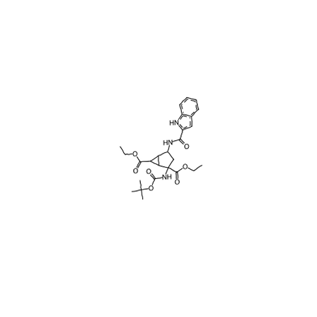 CCOC(=O)C1C2C(NC(=O)c3cc4ccccc4[nH]3)CC(NC(=O)OC(C)(C)C)(C(=O)OCC)C12